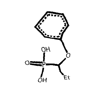 CCC(Oc1ccccc1)P(=O)(O)O